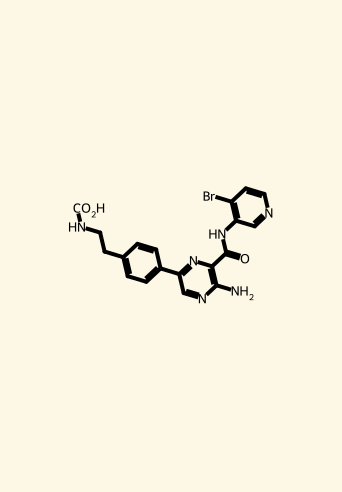 Nc1ncc(-c2ccc(CCNC(=O)O)cc2)nc1C(=O)Nc1cnccc1Br